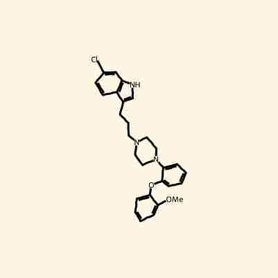 COc1ccccc1Oc1ccccc1N1CCN(CCCc2c[nH]c3cc(Cl)ccc23)CC1